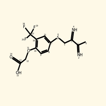 CC(=N)C(=N)CSc1ccc(OCC(=O)O)c(C(F)(F)F)c1